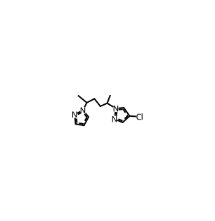 CC(CCC(C)n1cc(Cl)cn1)n1cccn1